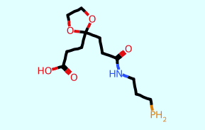 O=C(O)CCC1(CCC(=O)NCCCP)OCCO1